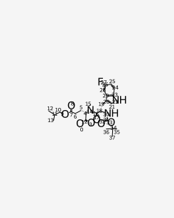 COC(=O)[C@H](CCC(=O)OCC(C)C)N(C)C(=O)[C@H](Cc1c[nH]c2ccc(F)cc12)NC(=O)OC(C)(C)C